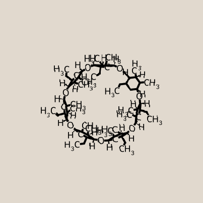 CCC1C[C@@H]2O[C@@H]3C(CC)C[C@H](O[C@@H]4C(CC)C[C@@H](O[C@@H]5C(CC)C[C@H](O[C@@H]6C(CC)C[C@@H](O[C@@H]7C(CC)C[C@@H](O[C@@H]8C(CC)C[C@H](O[C@H]1[C@H](C)C2C)C(C)[C@H]8C)C(C)[C@H]7C)C(C)[C@H]6C)C(C)[C@H]5C)C(C)[C@H]4C)C(C)[C@H]3C